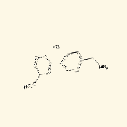 Cl.NCc1ccc(-c2cccc(C(=O)O)c2)cc1